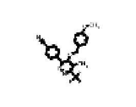 COc1ccc(COc2c(-c3ccc(C#N)cc3)nnc(C(F)(F)F)c2C)cc1